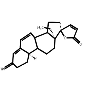 CC[C@]12CCC3C(C=CC4=CC(=N)CC[C@@H]43)C1CC[C@@]21C=CC(=O)O1